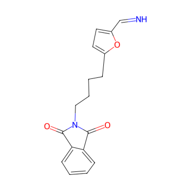 N=Cc1ccc(CCCCN2C(=O)c3ccccc3C2=O)o1